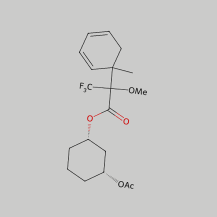 COC(C(=O)O[C@H]1CCC[C@@H](OC(C)=O)C1)(C(F)(F)F)C1(C)C=CC=CC1